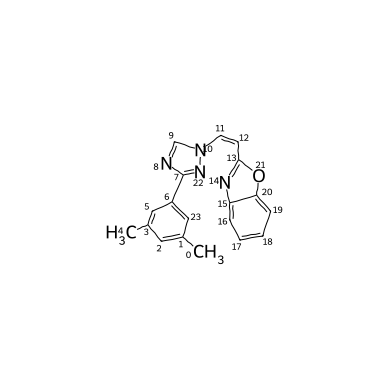 Cc1cc(C)cc(-c2ncn(/C=C\c3nc4ccccc4o3)n2)c1